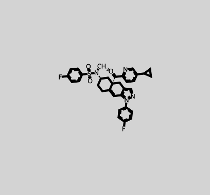 CN([C@H]1CCC2=Cc3c(cnn3-c3ccc(F)cc3)C[C@]2(C(=O)c2ccc(C3CC3)cn2)C1)S(=O)(=O)c1ccc(F)cc1